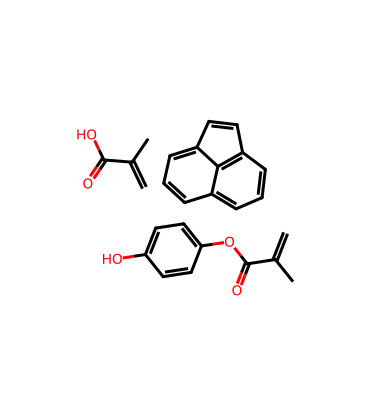 C1=Cc2cccc3cccc1c23.C=C(C)C(=O)O.C=C(C)C(=O)Oc1ccc(O)cc1